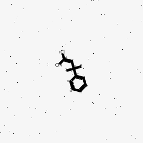 CC(C)(C=C(Cl)Cl)c1ccccc1